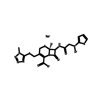 Cn1nnnc1SCC1=C(C(=O)[O-])N2C(=O)C(NC(=O)C[S+]([O-])c3cccs3)[C@@H]2SC1.[Na+]